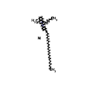 CCCCCCCCCCCCCCCCCCCCCCCCCCCC#Cc1ccc(/N=C(CCCCCCCC)/C(CCCC)=N/c2ccccc2)cc1.[Ni]